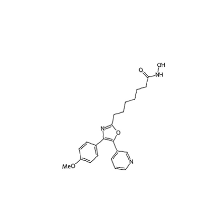 COc1ccc(-c2nc(CCCCCCC(=O)NO)oc2-c2cccnc2)cc1